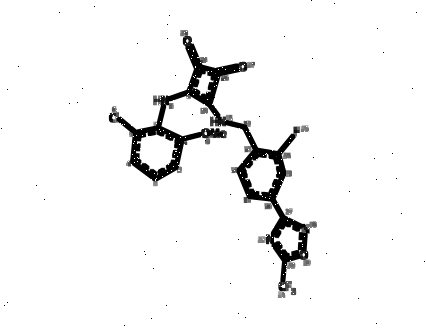 COc1cccc(Cl)c1Nc1c(NCc2ccc(-c3noc(C(F)(F)F)n3)cc2F)c(=O)c1=O